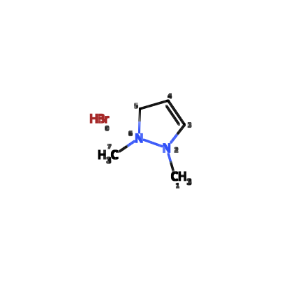 Br.CN1C=CCN1C